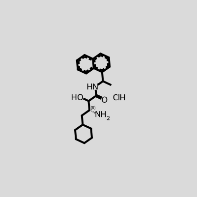 CC(NC(=O)C(O)[C@H](N)CC1CCCCC1)c1cccc2ccccc12.Cl